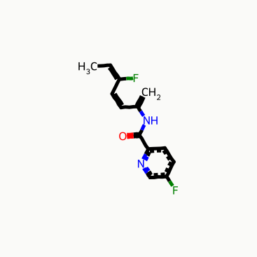 C=C(/C=C\C(F)=C/C)NC(=O)c1ccc(F)cn1